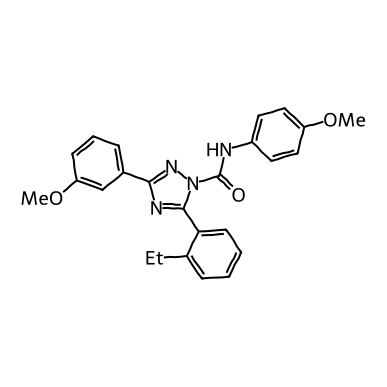 CCc1ccccc1-c1nc(-c2cccc(OC)c2)nn1C(=O)Nc1ccc(OC)cc1